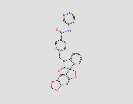 O=C(Nc1cccnc1)c1ccc(CN2C(=O)C3(COc4cc5c(cc43)OCO5)c3ccccc32)cc1